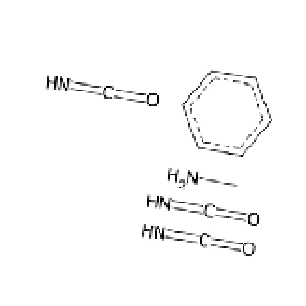 CN.N=C=O.N=C=O.N=C=O.c1ccccc1